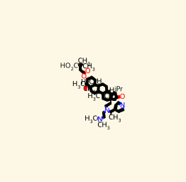 CC(C)C1=C2[C@H]3CC[C@@H]4[C@@]5(C)CC[C@H](OC(=O)CC(C)(C)C(=O)O)C(C)(C)[C@@H]5CC[C@@]4(C)[C@]3(C)CC[C@@]2(CCN(CCN(C)C)[C@H](C)c2ccncc2)CC1=O